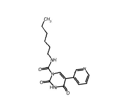 CCCCCCNC(=O)n1cc(-c2cccnc2)c(=O)[nH]c1=O